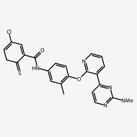 CNc1nccc(-c2cccnc2Oc2ccc(NC(=O)C3=CC(Cl)=CCC3=S)cc2C)n1